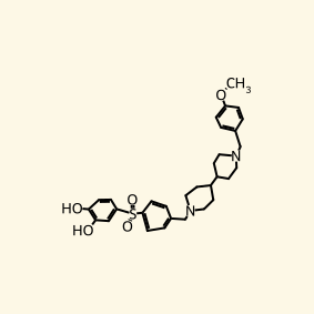 COc1ccc(CN2CCC(C3CCN(Cc4ccc(S(=O)(=O)c5ccc(O)c(O)c5)cc4)CC3)CC2)cc1